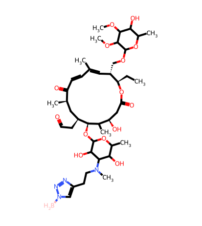 Bn1cc(CCN(C)C2C(O)C(C)OC(O[C@@H]3C(C)[C@H](O)CC(=O)O[C@H](CC)[C@@H](COC4OC(C)C(O)C(OC)C4OC)/C=C(C)/C=C/C(=O)[C@H](C)C[C@@H]3CC=O)C2O)nn1